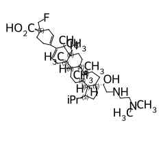 CC(C)[C@@H]1CC[C@]2(C(O)CNCCN(C)C)CC[C@]3(C)[C@H](CC[C@@H]4[C@@]5(C)CC=C(C6=CC[C@](CF)(C(=O)O)CC6)C(C)(C)[C@@H]5CC[C@]43C)[C@@H]12